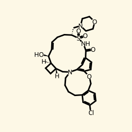 O=C1NS(=O)(=O)[C@@H](CN2CCOCC2)CC/C=C/[C@H](O)[C@@H]2CC[C@H]2CN2CCCCc3cc(Cl)ccc3COc3ccc1cc32